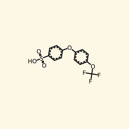 O=S(=O)(O)c1ccc(Oc2ccc(OC(F)(F)F)cc2)cc1